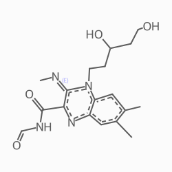 C/N=c1\c(C(=O)NC=O)nc2cc(C)c(C)cc2n1CCC(O)CCO